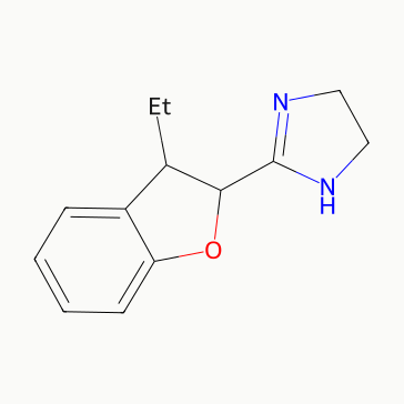 CCC1c2ccccc2OC1C1=NCCN1